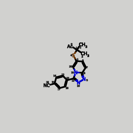 CC(=O)C(C)(C)Sc1ccc2nnc(-c3ccc(C#N)cc3)n2c1